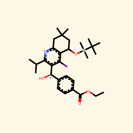 CCOC(=O)c1ccc([C@@H](O)c2c(C(C)C)nc3c(c2I)C(O[Si](C)(C)C(C)(C)C)CC(C)(C)C3)cc1